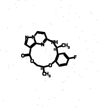 C[C@@H]1Nc2ccn3ncc(c3n2)C(=O)OC[C@H](C)Oc2ccc(F)cc21